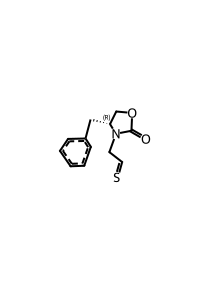 O=C1OC[C@@H](Cc2ccccc2)N1CC=S